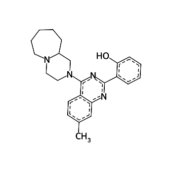 Cc1ccc2c(N3CCN4CCCCCC4C3)nc(-c3ccccc3O)nc2c1